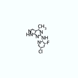 Cc1nc(Nc2ncc(Cl)cc2F)nc2[nH]ncc12